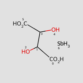 O=C(O)C(O)C(O)C(=O)O.[SbH3]